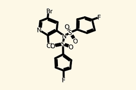 O=S(=O)(c1ccc(F)cc1)N(c1cc(Br)cnc1Cl)S(=O)(=O)c1ccc(F)cc1